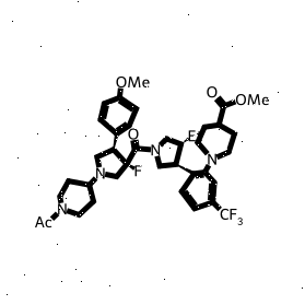 CC[C@H]1CN(C(=O)[C@]2(F)CN(C3CCN(C(C)=O)CC3)C[C@H]2c2ccc(OC)cc2)C[C@@H]1c1ccc(C(F)(F)F)cc1N1CCC(C(=O)OC)CC1